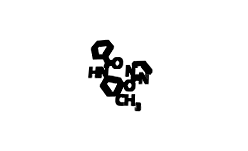 Cc1ccc(NC(=O)c2ccccc2)cc1Oc1ncccn1